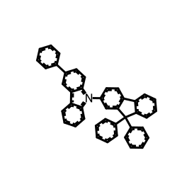 c1ccc(-c2ccc3c(c2)c2ccccc2n3-c2ccc3c(c2)C(c2ccccc2)(c2ccccc2)c2ccccc2-3)cc1